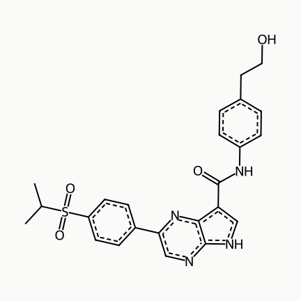 CC(C)S(=O)(=O)c1ccc(-c2cnc3[nH]cc(C(=O)Nc4ccc(CCO)cc4)c3n2)cc1